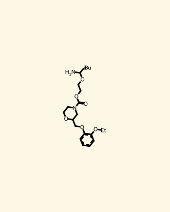 CCOc1ccccc1OCC1CN(C(=O)OCCOC(N)C(C)CC)CCO1